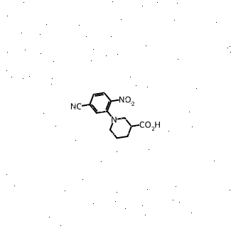 N#Cc1ccc([N+](=O)[O-])c(N2CCCC(C(=O)O)C2)c1